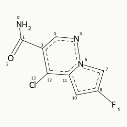 NC(=O)c1cnn2cc(F)cc2c1Cl